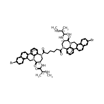 CN[C@@H](C)C(=O)N[C@H]1CN(C(=O)CCCCC(=O)N2C[C@H](NC(O)[C@H](C)NC)C(=O)N(Cc3c(OC)ccc4cc(Br)ccc34)c3ccccc32)c2ccccc2N(Cc2c(OC)ccc3cc(Br)ccc23)C1=O